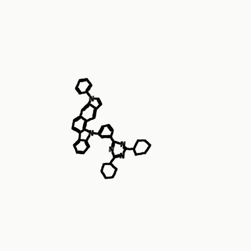 c1ccc(-n2ccc3cc4c(ccc5c6ccccc6n(-c6cccc(-c7nc(C8CCCCC8)nc(C8CCCCC8)n7)c6)c45)cc32)cc1